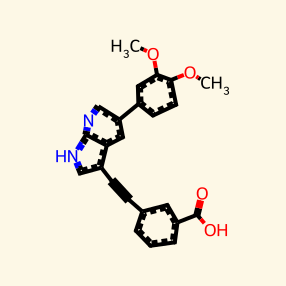 COc1ccc(-c2cnc3[nH]cc(C#Cc4cccc(C(=O)O)c4)c3c2)cc1OC